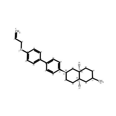 C=CCOc1ccc(-c2ccc([C@@H]3CC[C@@H]4CC(C)CC[C@@H]4C3)cc2)cc1